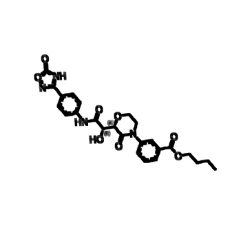 CCCCOC(=O)c1cccc(N2CCO[C@H]([C@@H](O)C(=O)Nc3ccc(-c4noc(=O)[nH]4)cc3)C2=O)c1